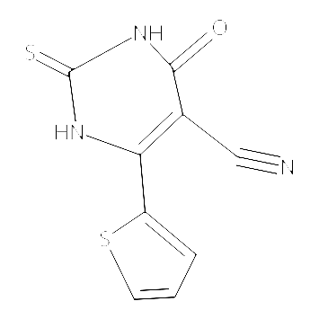 N#Cc1c(-c2cccs2)[nH]c(=S)[nH]c1=O